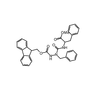 COC(=O)C(Cc1ccccc1)NC(=O)N(Cc1ccccc1)NC(=O)OCC1c2ccccc2-c2ccccc21